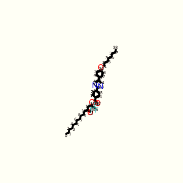 CCCCCCCCCCCC(=O)CC(OC(=O)c1ccc(-c2ncc(-c3ccc(OCCCCCCCC)cc3)cn2)cc1)C(F)(F)F